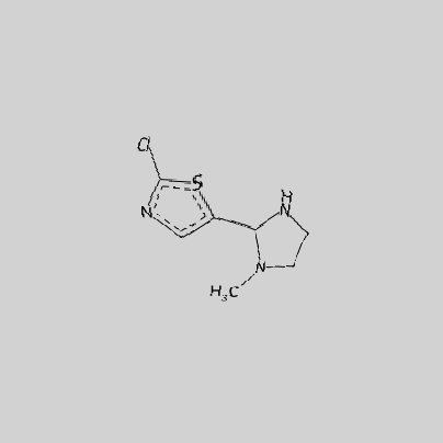 CN1CCNC1c1cnc(Cl)s1